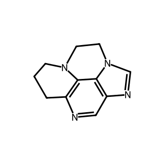 c1nc2c3c4c1ncn4CCN3CCC2